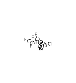 O=S(=O)(Nc1ccc(F)c(F)c1Nc1ccc(I)cc1F)c1sc(Cl)cc1Br